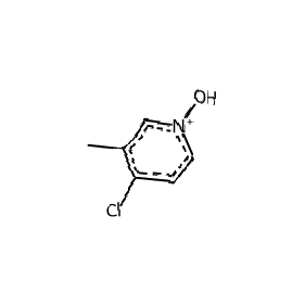 Cc1c[n+](O)ccc1Cl